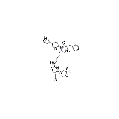 CCC/C(CCCCNc1ncc(C#N)c(N2CCOC(F)(F)C2)n1)=[N+](\C(=O)NCc1ccccc1)c1ccc(-c2cnn(C)c2)cn1